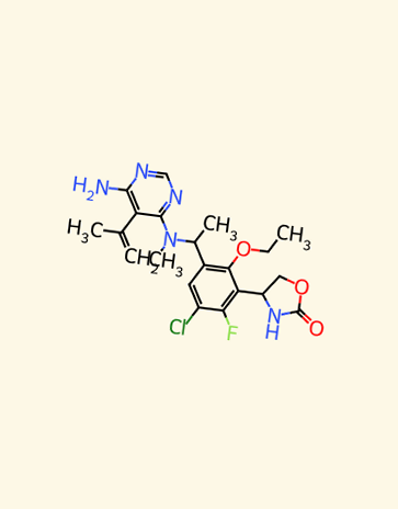 C=C(C)c1c(N)ncnc1N(C)C(C)c1cc(Cl)c(F)c(C2COC(=O)N2)c1OCC